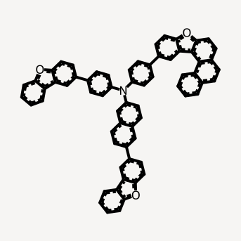 c1ccc2c(c1)ccc1ccc3oc4ccc(-c5ccc(N(c6ccc(-c7ccc8oc9ccccc9c8c7)cc6)c6ccc7cc(-c8ccc9oc%10ccccc%10c9c8)ccc7c6)cc5)cc4c3c12